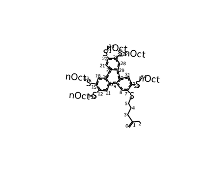 C=C(C)CCCSc1cc2c3cc(SCCCCCCCC)c(SCCCCCCCC)cc3c3cc(SCCCCCCCC)c(SCCCCCCCC)cc3c2cc1SCCCCCCCC